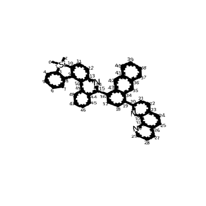 C[Si]1(C)c2ccccc2-c2c1ccc1nc(-c3ccc(-c4ccc5ccc6cccnc6c5n4)c4cc5ccccc5cc34)c3ccccc3c21